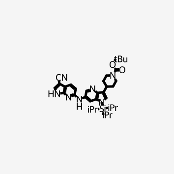 CC(C)[Si](C(C)C)(C(C)C)n1cc(C2CCN(C(=O)OC(C)(C)C)CC2)c2ncc(Nc3ccc4c(C#N)c[nH]c4n3)cc21